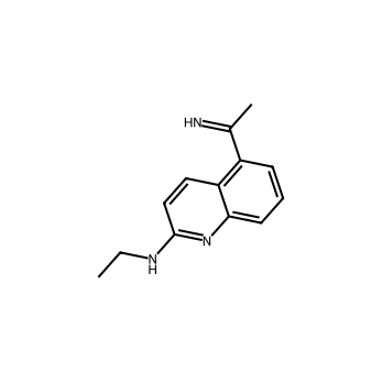 CCNc1ccc2c(C(C)=N)cccc2n1